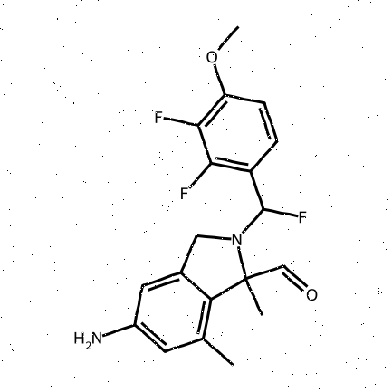 COc1ccc(C(F)N2Cc3cc(N)cc(C)c3C2(C)C=O)c(F)c1F